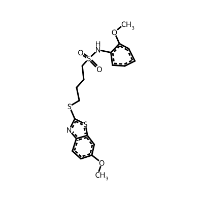 COc1ccc2nc(SCCCCS(=O)(=O)Nc3ccccc3OC)sc2c1